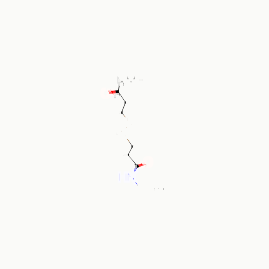 CCCCCCNC(=O)CCSSCCC(=O)NC